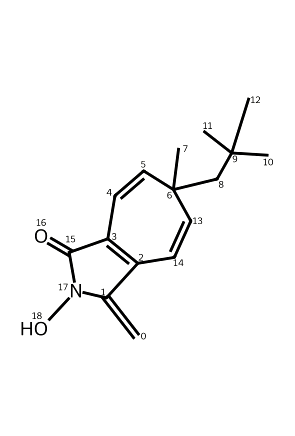 C=C1C2=C(C=CC(C)(CC(C)(C)C)C=C2)C(=O)N1O